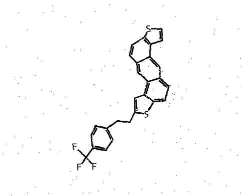 FC(F)(F)c1ccc(CCc2cc3c(ccc4cc5c(ccc6sccc65)cc43)s2)cc1